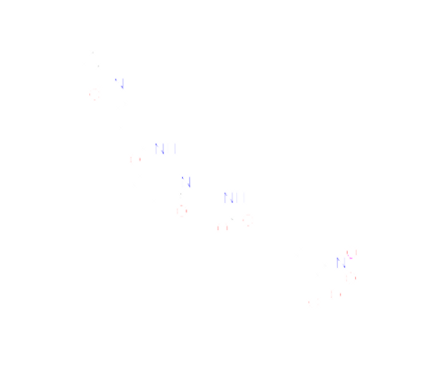 COC(=O)c1cc(/C=C/COC(=O)NCCN(CCNC(=O)c2ccc(N(C)C(=O)C34CC3C4)cc2)C(=O)c2ccccc2)ccc1[N+](=O)[O-]